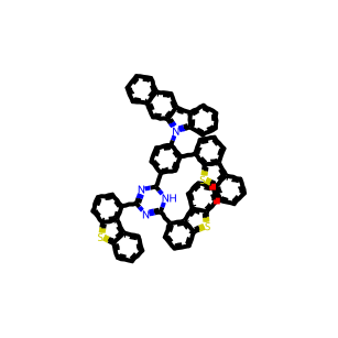 c1ccc2cc3c(cc2c1)c1ccccc1n3-c1ccc(C2N=C(c3cccc4sc5ccccc5c34)N=C(c3cccc4sc5ccccc5c34)N2)cc1-c1cccc2c1sc1ccccc12